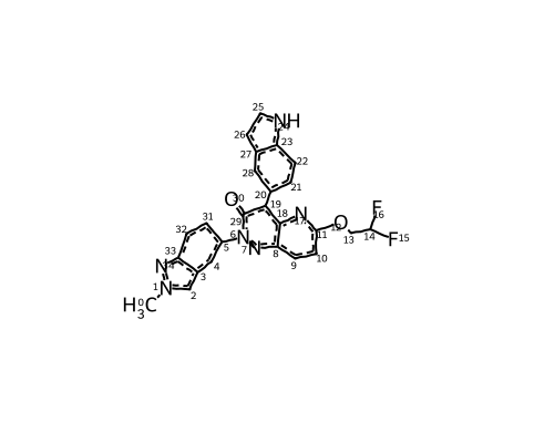 Cn1cc2cc(-n3nc4ccc(OCC(F)F)nc4c(-c4ccc5[nH]ccc5c4)c3=O)ccc2n1